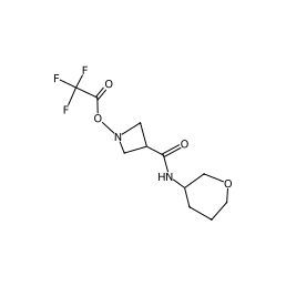 O=C(NC1CCCOC1)C1CN(OC(=O)C(F)(F)F)C1